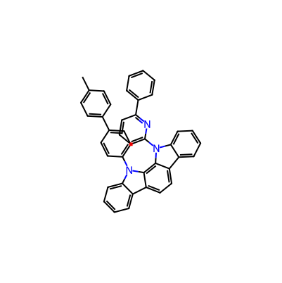 Cc1ccc(-c2ccc(-n3c4ccccc4c4ccc5c6ccccc6n(-c6cccc(-c7ccccc7)n6)c5c43)cc2)cc1